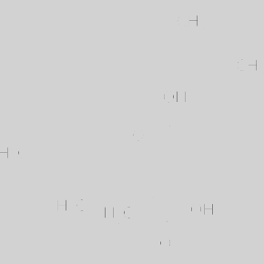 C=C(C(=O)O)C(C=C(CC(CC)CCCC)C(=O)O)CC(CC)CCCC